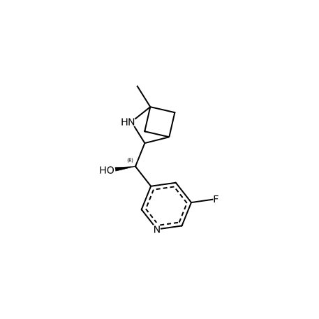 CC12CC(C1)C([C@H](O)c1cncc(F)c1)N2